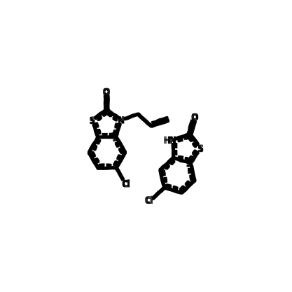 C=CCn1c(=O)sc2ccc(Cl)cc21.O=c1[nH]c2cc(Cl)ccc2s1